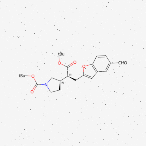 CC(C)(C)OC(=O)[C@@H](Cc1cc2cc(C=O)ccc2o1)[C@H]1CCN(C(=O)OC(C)(C)C)C1